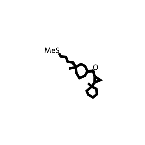 CSCCCCC1(C)CCCC(C(=O)C2CC2C2(C)CCCCC2)CC1